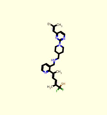 CC/C(C)=C/c1ccnc(N2CCC(CNCc3cccnc3/C(C)=C/C=C(\C)C(F)(F)S)CC2)n1